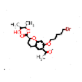 CC(=O)c1cc2c(cc1OCCCCCBr)O[C@H](C(=O)O[C@@H](C)C(C)O)CC2